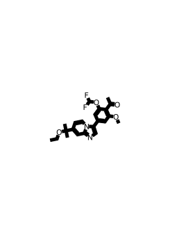 CCOC(C)(C)c1ccn2c(-c3cc(OC)c(C(C)=O)c(OC(F)F)c3)cnc2c1